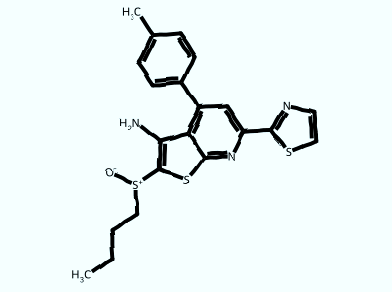 CCCC[S+]([O-])c1sc2nc(-c3nccs3)cc(-c3ccc(C)cc3)c2c1N